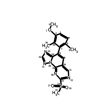 COc1ccc(C)c(-c2cc3cnc(S(C)(=O)=O)nc3n3ncnc23)c1C